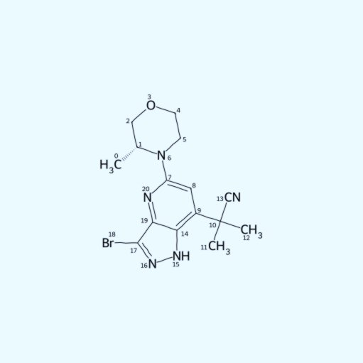 C[C@@H]1COCCN1c1cc(C(C)(C)C#N)c2[nH]nc(Br)c2n1